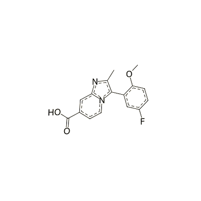 COc1ccc(F)cc1-c1c(C)nc2cc(C(=O)O)ccn12